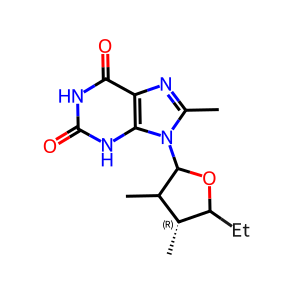 CCC1OC(n2c(C)nc3c(=O)[nH]c(=O)[nH]c32)C(C)[C@H]1C